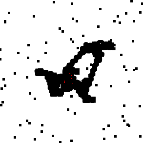 CCCCCCCCC1(CCCCCCCC)c2cc(C)c(OCCCCCCCCc3ccc(N(c4ccc(N(c5c(C)cc(C(C)(C)C)cc5C)c5c(C)cc(C(C)(C)C)cc5C)cc4)c4c(C)cc(C(C)(C)C)cc4C)cc3)cc2-c2cc(OCCCCCCCCc3ccc(N(c4ccc(N(c5c(C)cc(C(C)(C)C)cc5C)c5c(C)cc(C(C)(C)C)cc5C)cc4)c4c(C)cc(C(C)(C)C)cc4C)cc3)c(C)cc21